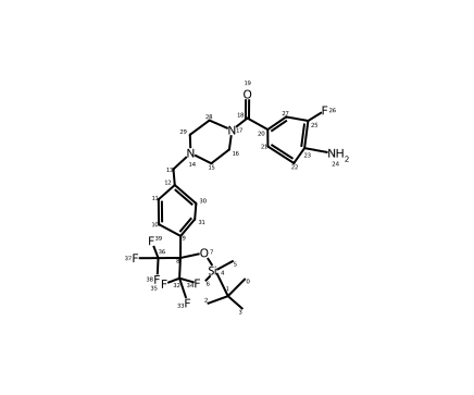 CC(C)(C)[Si](C)(C)OC(c1ccc(CN2CCN(C(=O)c3ccc(N)c(F)c3)CC2)cc1)(C(F)(F)F)C(F)(F)F